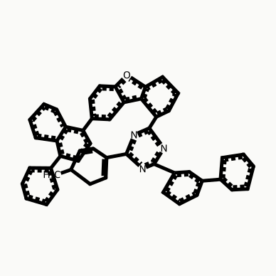 CC1C=CC(c2nc(-c3cccc(-c4ccccc4)c3)nc(-c3cccc4oc5ccc(-c6ccc(-c7ccccc7)c7ccccc67)cc5c34)n2)=CC1